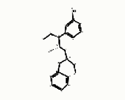 CC[C@@H](c1cccc(O)c1)[C@@H](C)CN(CC)Cc1ccccc1